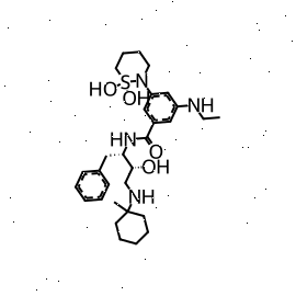 CCNc1cc(C(=O)N[C@@H](Cc2ccccc2)[C@H](O)CNC2(C)CCCCC2)cc(N2CCCCS2(O)O)c1